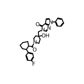 O=C(C1CCCCC1c1ccc(F)cc1)N1CCC(O)(Cn2cnc3c(ccn3-c3ccccc3)c2=O)CC1